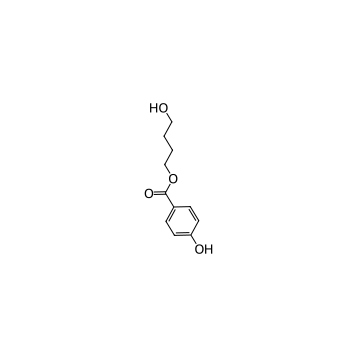 O=C(OCCCCO)c1ccc(O)cc1